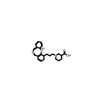 O=C(O)C1CCCN(CCCC2CC=CC3=C2O[C@@H]2C=CC=C/C2=C/N=C\3)C1